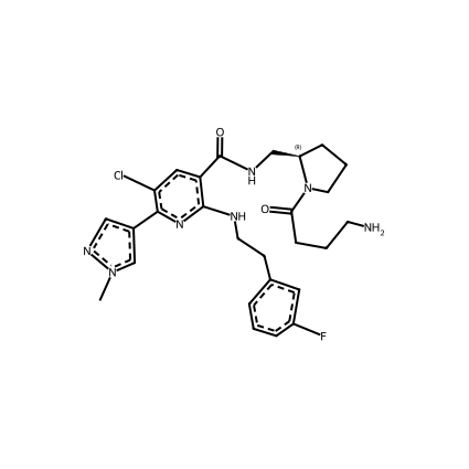 Cn1cc(-c2nc(NCCc3cccc(F)c3)c(C(=O)NC[C@H]3CCCN3C(=O)CCCN)cc2Cl)cn1